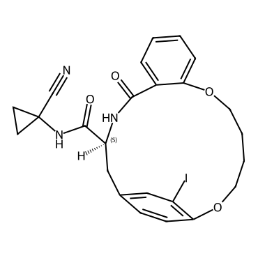 N#CC1(NC(=O)[C@@H]2Cc3ccc(c(I)c3)OCCCCOc3ccccc3C(=O)N2)CC1